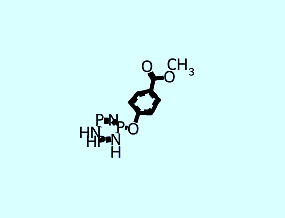 COC(=O)c1ccc(Op2np[nH][pH][nH]2)cc1